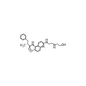 C[C@H](Cc1ccccc1)C(=O)Nc1c(Cl)ccc2nc(NCCNCCO)ccc12